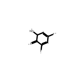 OC1C=C(F)C=C(F)C1=S